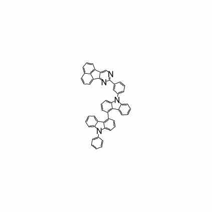 c1ccc(-n2c3ccccc3c3c(-c4cccc5c4c4ccccc4n5-c4cccc(-c5ncc6c(n5)-c5cccc7cccc-6c57)c4)cccc32)cc1